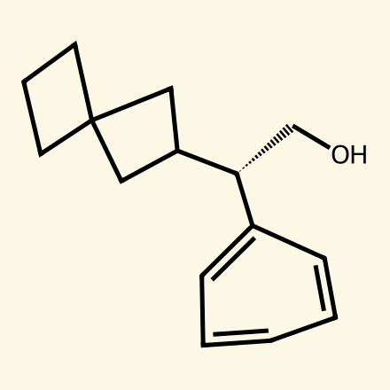 OC[C@H](c1ccccc1)C1CC2(CCC2)C1